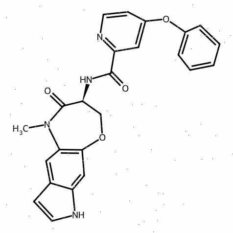 CN1C(=O)[C@@H](NC(=O)c2cc(Oc3ccccc3)ccn2)COc2cc3[nH]ccc3cc21